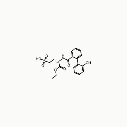 CCOC(=O)[C@H](CCS(=O)(=O)O)NC(=O)c1ccccc1-c1ccccc1O